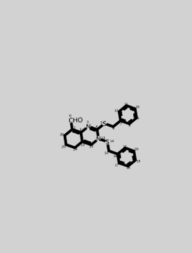 O=CC1=C2N=C(SCc3ccccc3)N(SCc3ccccc3)C=C2CCC1